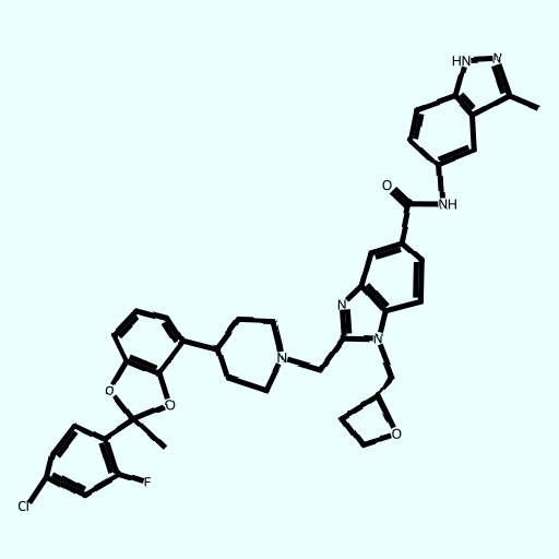 Cc1n[nH]c2ccc(NC(=O)c3ccc4c(c3)nc(CN3CCC(c5cccc6c5OC(C)(c5ccc(Cl)cc5F)O6)CC3)n4C[C@@H]3CCO3)cc12